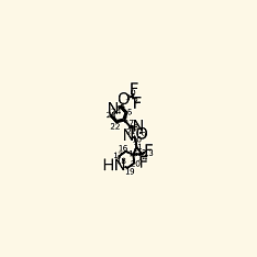 FC(F)Oc1cc(-c2noc(C3C(F)(F)C34CCNCC4)n2)ccn1